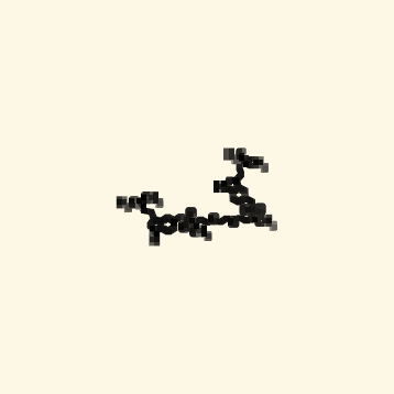 CN(C)CCc1c[nH]c2ccc(CS(=O)(=O)N(C)CCOCCOCCN(C)S(=O)(=O)Cc3ccc4[nH]cc(CCN(C)C)c4c3)cc12